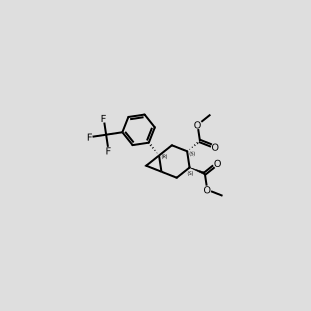 COC(=O)[C@H]1CC2C[C@@]2(c2cccc(C(F)(F)F)c2)C[C@@H]1C(=O)OC